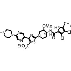 CCOC(=O)c1sc(N2CC[C@@H](NC(=O)c3[nH]c(C)c(Cl)c3Cl)[C@@H](OC)C2)nc1-c1cnc(N2CCNCC2)cn1